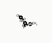 CN1CCN(C=C2C=CC(NC(=O)c3ccc(Cl)cc3)=CC2C(F)(F)F)CC1